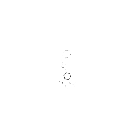 CC(=O)c1cc(N2CC(CN3CCC(=O)CC3)C2)ccc1C(=O)C(C)C